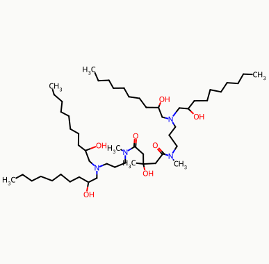 CCCCCCCCC(O)CN(CCCN(C)C(=O)CC(C)(O)CC(=O)N(C)CCCN(CC(O)CCCCCCCC)CC(O)CCCCCCCC)CC(O)CCCCCCCC